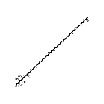 CC(=O)NCCOCCOCCOCCOCCOCCOCCOCCOCCOCCOCCOCCOCCC(=O)NC[C@H](O)[C@@H](O)[C@H](O)[C@H](O)CO